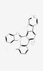 Cc1cccc(C)c1-n1c(-c2c(C)ccc3c2oc2cnccc23)nc2ccccc21